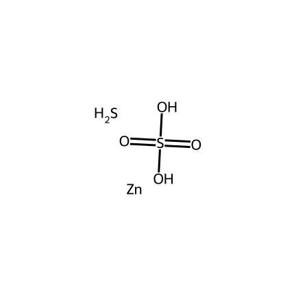 O=S(=O)(O)O.S.[Zn]